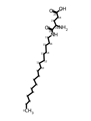 CCCCCCCCCCCCCCCCCCNC(=O)C(N)CCC(=O)O